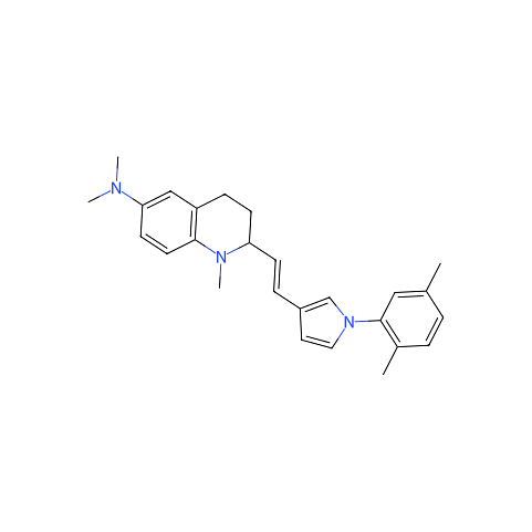 Cc1ccc(C)c(-n2ccc(C=CC3CCc4cc(N(C)C)ccc4N3C)c2)c1